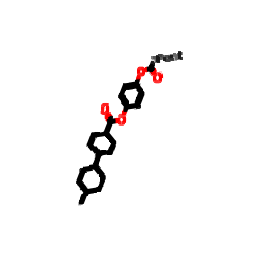 CCCCCC(=O)Oc1ccc(OC(=O)C2CCC(C3CCC(C)CC3)CC2)cc1